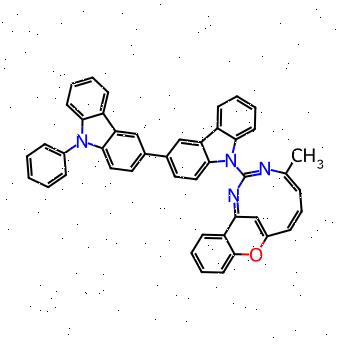 Cc1cccc2cc(nc(-n3c4ccccc4c4cc(-c5ccc6c(c5)c5ccccc5n6-c5ccccc5)ccc43)n1)-c1ccccc1O2